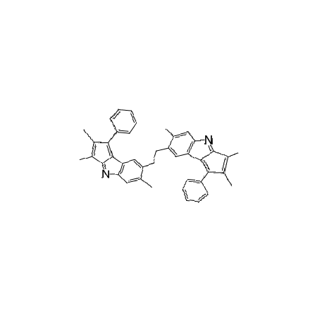 CC1=C(C)C(c2ccccc2)=C2C1=Nc1cc(C)c(CCc3cc4c(cc3C)N=C3C(C)=C(C)C(c5ccccc5)=C34)cc12